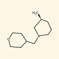 C[C@H]1CCCN(CC2CCOCC2)C1